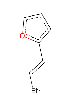 C[CH]C=Cc1ccco1